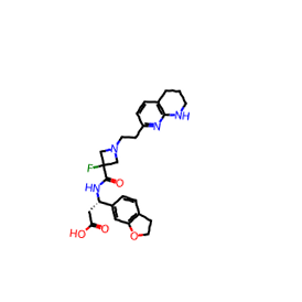 O=C(O)C[C@H](NC(=O)C1(F)CN(CCc2ccc3c(n2)NCCC3)C1)c1ccc2c(c1)OCC2